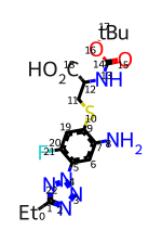 CCc1nnn(-c2cc(N)c(SCC(NC(=O)OC(C)(C)C)C(=O)O)cc2F)n1